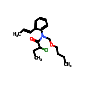 CC=Cc1ccccc1N(COCCCC)C(=O)C(Cl)CC